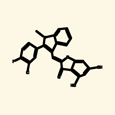 Cn1c(-c2ccc(F)c(Cl)c2)c(C=C2Oc3cc(O)cc(O)c3C2=O)c2ccccc21